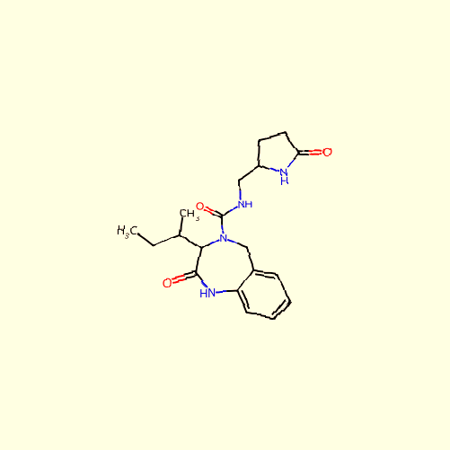 CCC(C)C1C(=O)Nc2ccccc2CN1C(=O)NCC1CCC(=O)N1